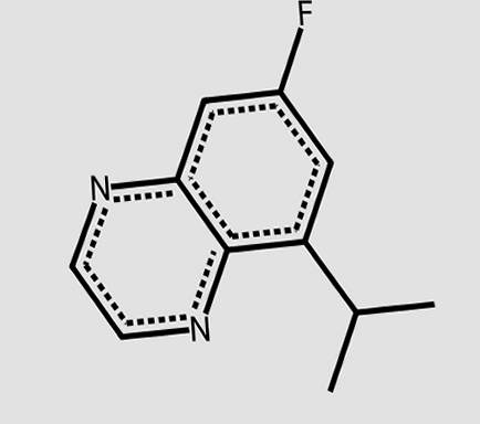 CC(C)c1cc(F)cc2nccnc12